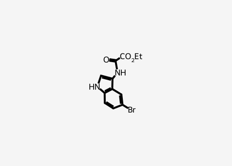 CCOC(=O)C(=O)Nc1c[nH]c2ccc(Br)cc12